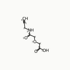 C#CCNC(=O)COCC(=O)O